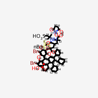 CCCCSC(=S)SC(C)(CC(CC(C)(C)C(=O)ON1C(=O)CCC1=O)C(=O)NC(C)(C)CS(=O)(=O)O)C(=O)Oc1c(-c2ccccc2)c(-c2ccccc2)c(-c2ccccc2)c(-c2ccccc2)c1-c1c2cc(Br)c(=O)c(Br)c-2oc2c(Br)c(O)c(Br)cc12